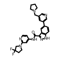 O=C(Nc1ccnc(N2CCC(F)(F)C2)c1)c1n[nH]c2ccc(-c3cncc(CN4CCCC4)c3)cc12